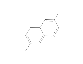 Fc1cnc2cc(Cl)ccc2c1